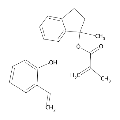 C=C(C)C(=O)OC1(C)CCc2ccccc21.C=Cc1ccccc1O